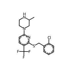 CC1CN(c2ccc(C(F)(F)F)c(SCc3ccccc3Cl)n2)CCN1